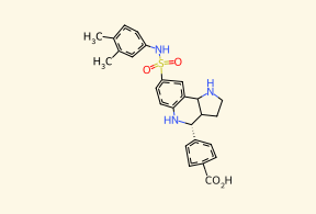 Cc1ccc(NS(=O)(=O)c2ccc3c(c2)C2NCCC2[C@H](c2ccc(C(=O)O)cc2)N3)cc1C